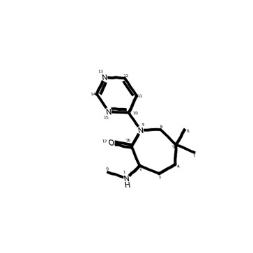 CNC1CCC(C)(C)CN(c2ccncn2)C1=O